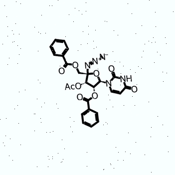 CC(=O)O[C@H]1[C@@H](OC(=O)c2ccccc2)[C@H](n2ccc(=O)[nH]c2=O)O[C@@]1(COC(=O)c1ccccc1)N=[N+]=[N-]